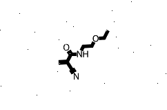 C=C(C#N)C(=O)NCCOCC